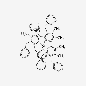 Cc1cc([Si](Cl)(c2cc(C)c(C)c(Cc3ccccc3)c2Cc2ccccc2)c2cc(C)c(C)c(Cc3ccccc3)c2Cc2ccccc2)c(Cc2ccccc2)c(Cc2ccccc2)c1C